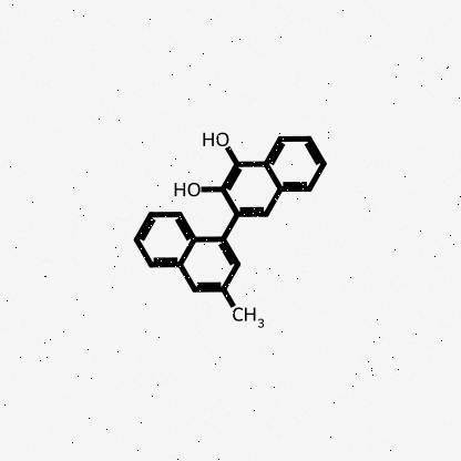 Cc1cc(-c2cc3ccccc3c(O)c2O)c2ccccc2c1